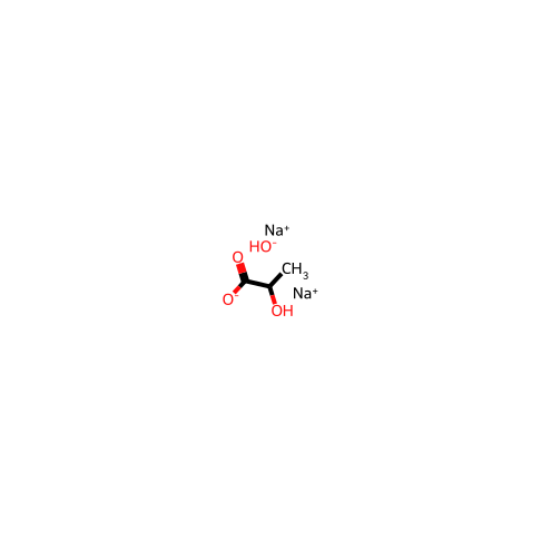 CC(O)C(=O)[O-].[Na+].[Na+].[OH-]